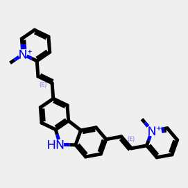 C[n+]1ccccc1/C=C/c1ccc2[nH]c3ccc(/C=C/c4cccc[n+]4C)cc3c2c1